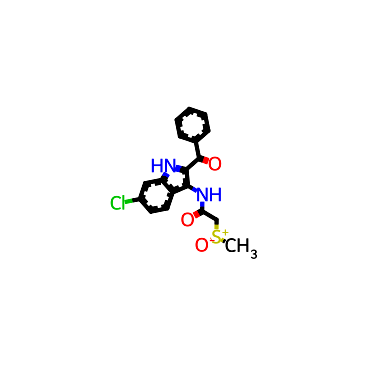 C[S+]([O-])CC(=O)Nc1c(C(=O)c2ccccc2)[nH]c2cc(Cl)ccc12